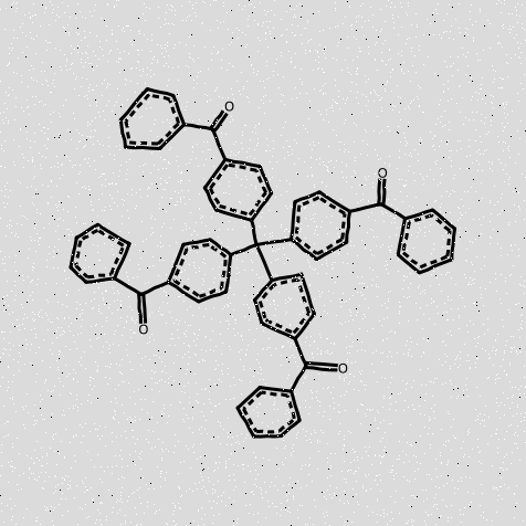 O=C(c1ccccc1)c1ccc(C(c2ccc(C(=O)c3ccccc3)cc2)(c2ccc(C(=O)c3ccccc3)cc2)c2ccc(C(=O)c3ccccc3)cc2)cc1